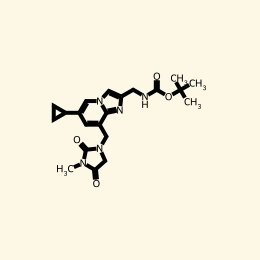 CN1C(=O)CN(Cc2cc(C3CC3)cn3cc(CNC(=O)OC(C)(C)C)nc23)C1=O